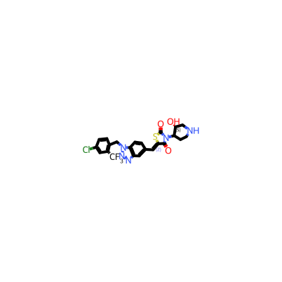 O=C1S/C(=C\c2ccc3c(c2)nnn3Cc2ccc(Cl)cc2C(F)(F)F)C(=O)N1C1CCNC[C@@H]1O